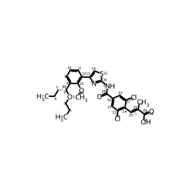 CCCO[C@H](CCC)c1cccc(-c2csc(NC(=O)c3cc(Cl)c(/C=C(\C)C(=O)O)c(Cl)c3)n2)c1OC